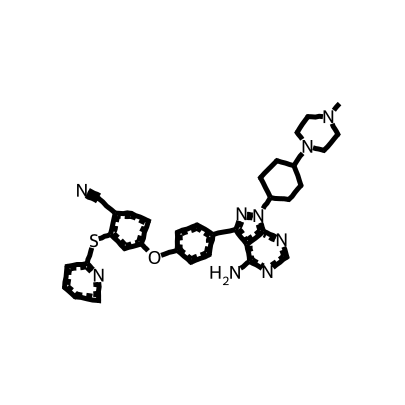 CN1CCN(C2CCC(n3nc(-c4ccc(Oc5ccc(C#N)c(Sc6ccccn6)c5)cc4)c4c(N)ncnc43)CC2)CC1